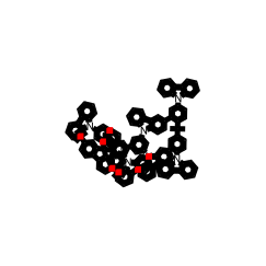 CC(C)(C)c1ccc2c(c1)C1(c3cc(-n4c5ccccc5c5ccccc54)ccc3-c3ccc(-n4c5ccccc5c5cc(-c6ccc7c8ccccc8n(-c8ccc(C(C)(C)c9ccc(-n%10c%11ccccc%11c%11ccccc%11%10)cc9-c9ccc%10c(c9)c9ccccc9n%10-c9cc(-n%10c%11ccccc%11c%11ccccc%11%10)cc(-n%10c%11ccccc%11c%11ccccc%11%10)c9)cc8)c7c6)ccc54)cc31)c1cc(C(C)(C)C)ccc1-2